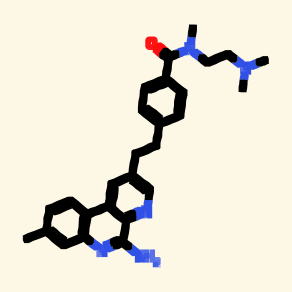 Cc1ccc2c(c1)nc(N)c1ncc(CCc3ccc(C(=O)N(C)CCN(C)C)cc3)cc12